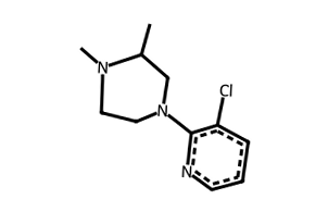 CC1CN(c2ncccc2Cl)CCN1C